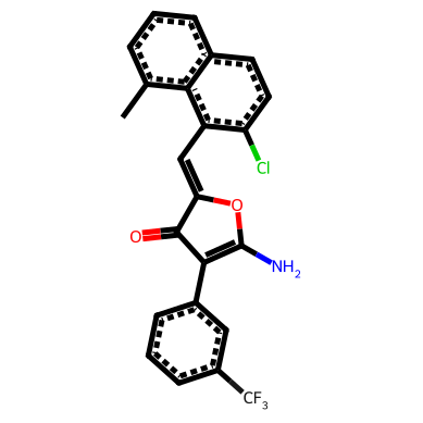 Cc1cccc2ccc(Cl)c(C=C3OC(N)=C(c4cccc(C(F)(F)F)c4)C3=O)c12